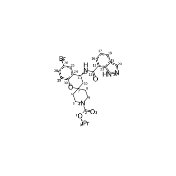 CC(C)OC(=O)N1CCC2(CC1)C[C@H](NC(=O)c1cccc3cn[nH]c13)c1cc(Br)ccc1O2